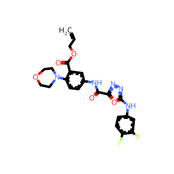 C=CCOC(=O)c1cc(NC(=O)c2nnc(Nc3ccc(F)c(F)c3)o2)ccc1N1CCOCC1